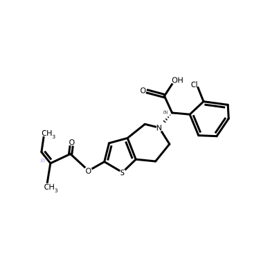 C/C=C(/C)C(=O)Oc1cc2c(s1)CCN([C@H](C(=O)O)c1ccccc1Cl)C2